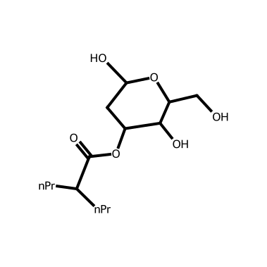 CCCC(CCC)C(=O)OC1CC(O)OC(CO)C1O